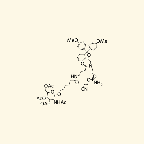 COc1ccc(C(OCCN(CCOP(N)OCCC#N)C(=O)CCCNC(=O)CCCCCOC2OC(COC(C)=O)C(OC(C)=O)C(OC(C)=O)C2NC(C)=O)(c2ccccc2)c2ccc(OC)cc2)cc1